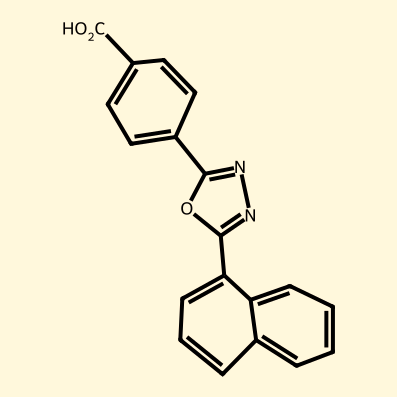 O=C(O)c1ccc(-c2nnc(-c3cccc4ccccc34)o2)cc1